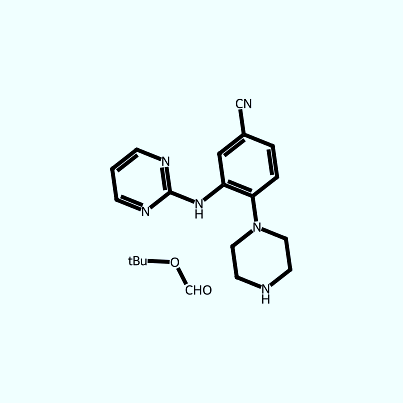 CC(C)(C)OC=O.N#Cc1ccc(N2CCNCC2)c(Nc2ncccn2)c1